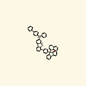 c1ccc(-c2ccc(N(c3ccccc3)c3ccc4c(c3)sc3c(-c5ccc(C6(c7cccc8ccccc78)c7ccccc7-c7ccccc76)cc5)cccc34)cc2)cc1